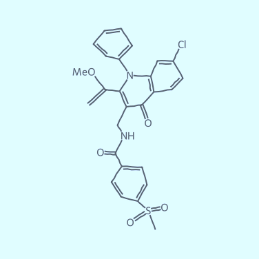 C=C(OC)c1c(CNC(=O)c2ccc(S(C)(=O)=O)cc2)c(=O)c2ccc(Cl)cc2n1-c1ccccc1